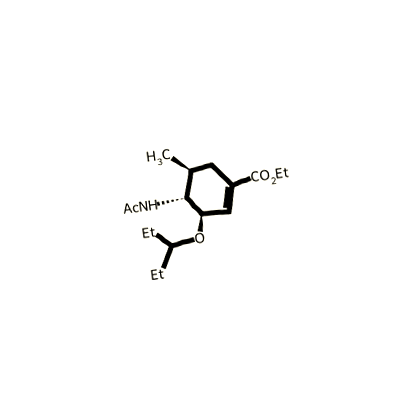 CCOC(=O)C1=C[C@@H](OC(CC)CC)[C@H](NC(C)=O)[C@@H](C)C1